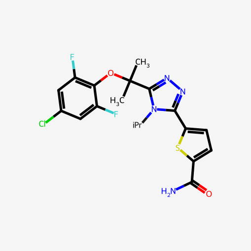 CC(C)n1c(-c2ccc(C(N)=O)s2)nnc1C(C)(C)Oc1c(F)cc(Cl)cc1F